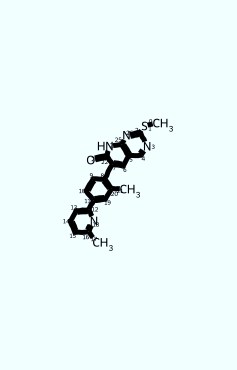 CSc1ncc2cc(-c3ccc(-c4cccc(C)n4)cc3C)c(=O)[nH]c2n1